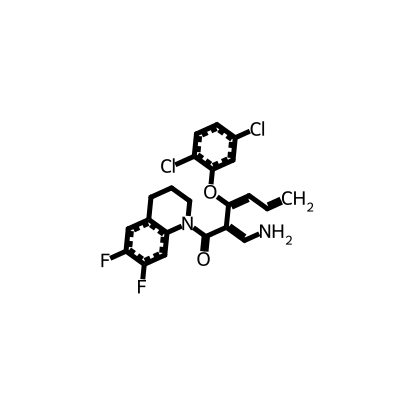 C=C/C=C(Oc1cc(Cl)ccc1Cl)\C(=C/N)C(=O)N1CCCc2cc(F)c(F)cc21